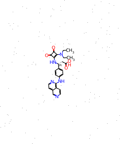 CCN(CC)c1c(N[C@H](CC(=O)O)c2ccc(Nc3nccc4cnccc34)cc2)c(=O)c1=O